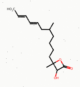 CC(CC=CC=CC(=O)O)CCCCC1(C)OC(=O)C1O